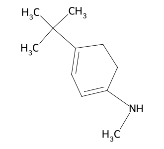 CNC1=CC=C(C(C)(C)C)CC1